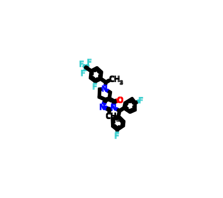 Cc1nc2c(c(=O)n1C(c1ccc(F)cc1)c1ccc(F)cc1)CN(C(C)c1ccc(C(F)(F)F)cc1F)CC2